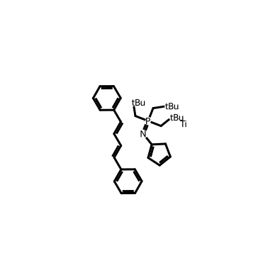 C(C=Cc1ccccc1)=Cc1ccccc1.CC(C)(C)CP(CC(C)(C)C)(CC(C)(C)C)=NC1=CC=CC1.[Ti]